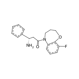 N[C@@H](CC(=O)N1CCCOc2c(F)cccc21)c1ccccc1